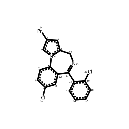 CC(C)c1cc2n(c1)-c1ccc(Cl)cc1C(c1ccccc1Cl)=NC2